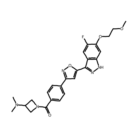 COCCOc1cc2[nH]nc(-c3cc(-c4ccc(C(=O)N5CC(N(C)C)C5)cc4)no3)c2cc1F